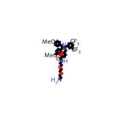 COc1ccc(-c2nc(C3=CC(C(F)(F)F)=CC(C(F)(F)F)C3)n(Cc3ccc(C(=O)NCCOCCOCCN)cc3)c2-c2ccc(OC)cc2)cc1